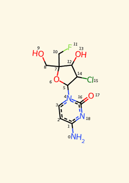 Nc1ccn(C2OC(CO)(CF)C(O)C2Cl)c(=O)n1